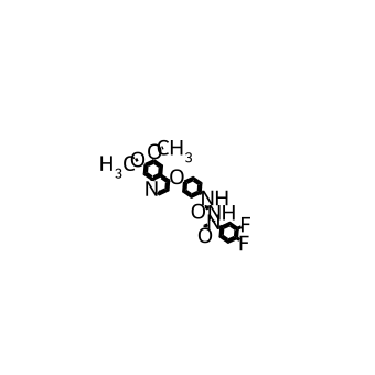 COc1cc2nccc(Oc3ccc(NC(=O)NN(C=O)c4ccc(F)c(F)c4)cc3)c2cc1OC